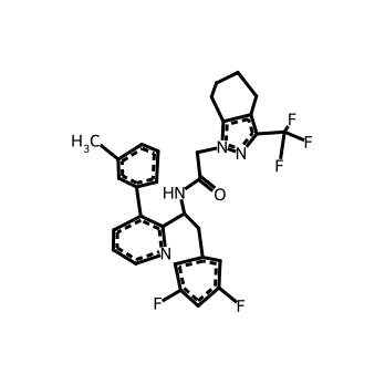 Cc1cccc(-c2cccnc2C(Cc2cc(F)cc(F)c2)NC(=O)Cn2nc(C(F)(F)F)c3c2CCCC3)c1